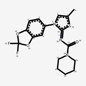 Cc1cn(-c2ccc3c(c2)OC(F)(F)O3)/c(=N/C(=O)N2CCCCC2)s1